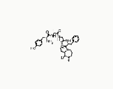 CC(C)CC1C(=O)NCCCN1C(=O)[C@H](Cc1ccccc1)NC(=O)CNC(=O)[C@@H](C)NC(=O)[C@@H](N)Cc1ccc(O)cc1